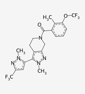 Cc1c(OC(F)(F)F)cccc1C(=O)N1CCc2c(nn(C)c2-c2cc(C(F)(F)F)nn2C)C1